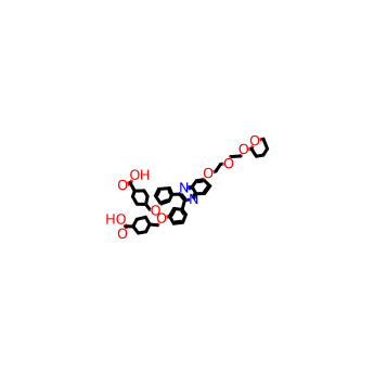 O=C(O)C1CCC(COc2cccc(-c3nc4ccc(OCCOCCOC5CCCCO5)cc4nc3-c3cccc(OCC4CCC(C(=O)O)CC4)c3)c2)CC1